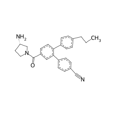 CCCc1ccc(-c2ccc(C(=O)N3CC[C@H](N)C3)cc2-c2ccc(C#N)cc2)cc1